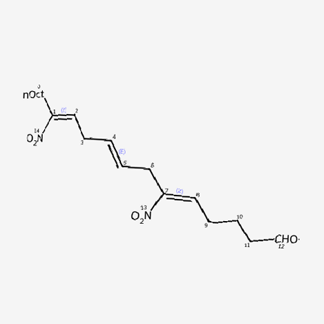 CCCCCCCC/C(=C/C/C=C/C/C(=C/CCC[C]=O)[N+](=O)[O-])[N+](=O)[O-]